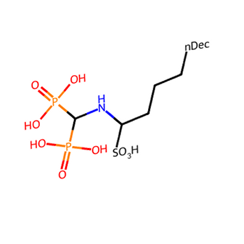 CCCCCCCCCCCCCC(NC(P(=O)(O)O)P(=O)(O)O)S(=O)(=O)O